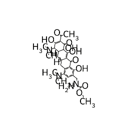 CCOC(=O)N(N)Cc1cc(N(C)C)c2c(c1O)C(=O)C1=C(O)[C@]3(O)C(=O)C(C(C)=O)=C(O)[C@H](N(C)C)[C@@H]3C[C@@H]1C2